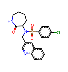 O=C1NCCCCC1N(Cc1cnc2ccccc2c1)S(=O)(=O)c1ccc(Cl)cc1